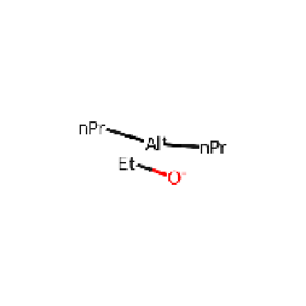 CC[CH2][Al+][CH2]CC.CC[O-]